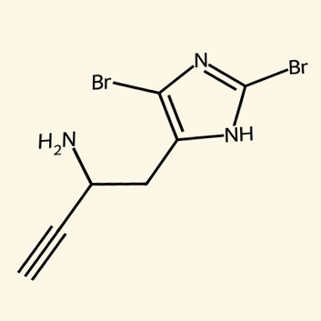 C#CC(N)Cc1[nH]c(Br)nc1Br